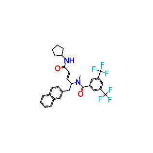 CN(C(=O)c1cc(C(F)(F)F)cc(C(F)(F)F)c1)C(C=CC(=O)NC1CCCC1)Cc1ccc2ccccc2c1